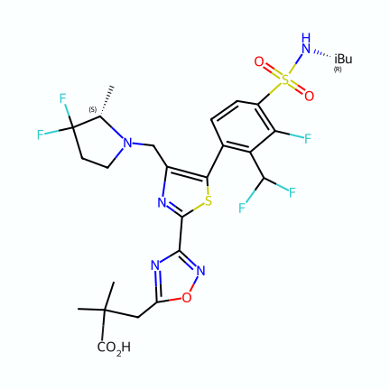 CC[C@@H](C)NS(=O)(=O)c1ccc(-c2sc(-c3noc(CC(C)(C)C(=O)O)n3)nc2CN2CCC(F)(F)[C@@H]2C)c(C(F)F)c1F